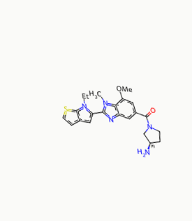 CCn1c(-c2nc3cc(C(=O)N4CC[C@@H](N)C4)cc(OC)c3n2C)cc2ccsc21